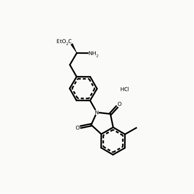 CCOC(=O)[C@@H](N)Cc1ccc(N2C(=O)c3cccc(C)c3C2=O)cc1.Cl